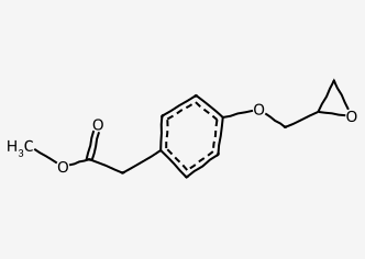 COC(=O)Cc1ccc(OCC2CO2)cc1